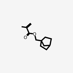 C=C(C)C(=O)OCC12CCC(CC1)C2